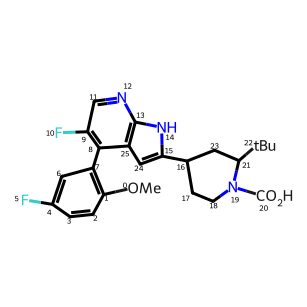 COc1ccc(F)cc1-c1c(F)cnc2[nH]c(C3CCN(C(=O)O)C(C(C)(C)C)C3)cc12